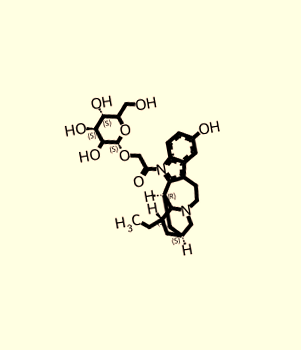 CC[C@H]1C[C@H]2C[C@H]3c4c(c5cc(O)ccc5n4C(=O)CO[C@H]4OC(CO)[C@@H](O)[C@H](O)C4O)CCN(C2)C13